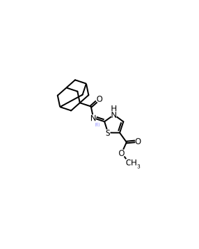 COC(=O)c1c[nH]/c(=N\C(=O)C23CC4CC(CC(C4)C2)C3)s1